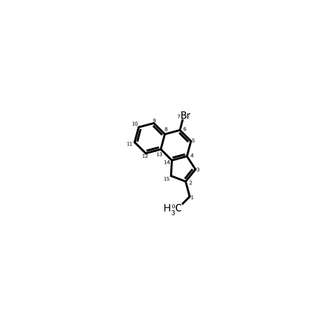 CCC1=Cc2cc(Br)c3ccccc3c2C1